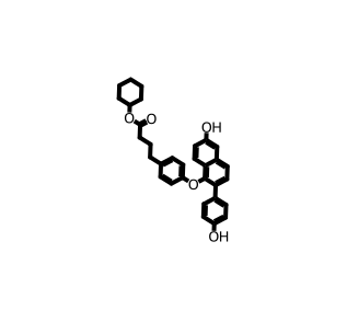 O=C(CCCc1ccc(Oc2c(-c3ccc(O)cc3)ccc3cc(O)ccc23)cc1)OC1CCCCC1